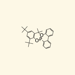 CC(C)(C)c1cc(C(C)(C)C)c(OP2Oc3ccccc3-c3ccccc32)c(C(C)(C)C)c1